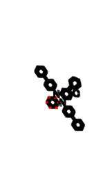 c1ccc(-c2ccc(N(c3ccccc3)c3cc4oc5ccccc5c4cc3N(c3ccccc3)c3ccc(-c4ccccc4)cc3)cc2)cc1